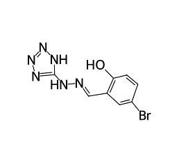 Oc1ccc(Br)cc1/C=N/Nc1nnn[nH]1